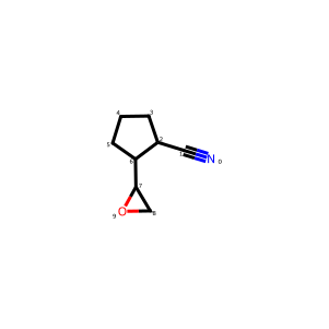 N#CC1CCCC1C1CO1